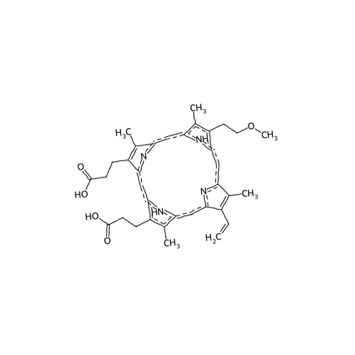 C=CC1=C(C)c2cc3[nH]c(cc4nc(cc5[nH]c(cc1n2)c(C)c5CCC(=O)O)C(CCC(=O)O)=C4C)c(C)c3CCOC